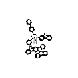 c1ccc(-c2ccc(C3=NC(c4cccc(-n5c6ccccc6c6cc7c(cc65)-c5ccccc5C75c6ccccc6-c6ccccc65)c4)NC(c4ccc5c(c4)oc4ccccc45)=N3)cc2)cc1